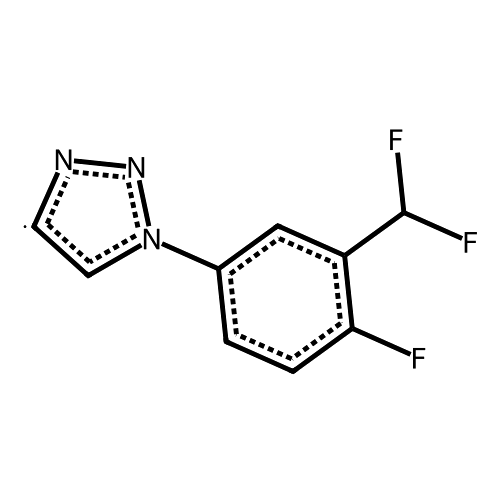 Fc1ccc(-n2c[c]nn2)cc1C(F)F